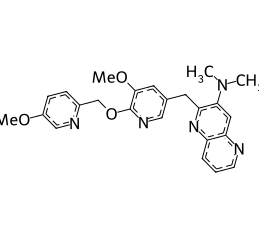 COc1ccc(COc2ncc(Cc3nc4cccnc4cc3N(C)C)cc2OC)nc1